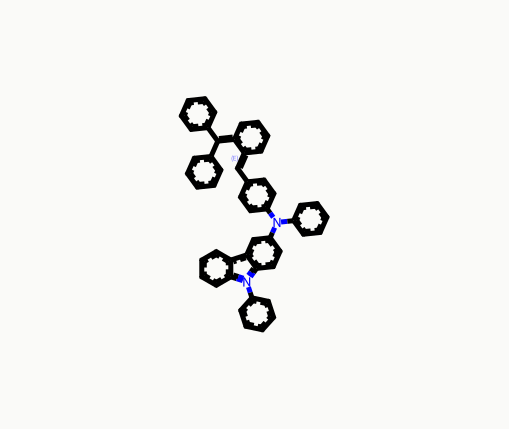 C(/c1ccc(N(c2ccccc2)c2ccc3c(c2)c2ccccc2n3-c2ccccc2)cc1)=c1/ccccc1=C(c1ccccc1)c1ccccc1